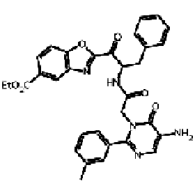 CCOC(=O)c1ccc2oc(C(=O)C(Cc3ccccc3)NC(=O)Cn3c(-c4cccc(C)c4)ncc(N)c3=O)nc2c1